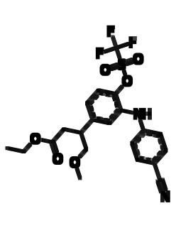 CCOC(=O)CC(COC)c1ccc(OS(=O)(=O)C(F)(F)F)c(Nc2ccc(C#N)cc2)c1